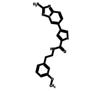 COc1cccc(CCNC(=O)c2cc(-c3ccc4nc(N)nn4c3)cs2)c1